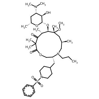 CCCN1C[C@H](C)C[C@@](C)(OC)[C@H](O[C@@H]2O[C@H](C)C[C@H](N(C)C)[C@H]2O)[C@@H](C)C(=O)C(C)(C)C(=O)OC[C@H]1CC1CCN(S(=O)(=O)c2ccccc2)CC1